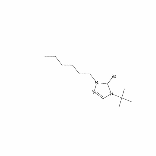 CCCCCCN1N=CN(C(C)(C)C)C1Br